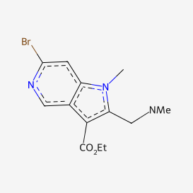 CCOC(=O)c1c(CNC)n(C)c2cc(Br)ncc12